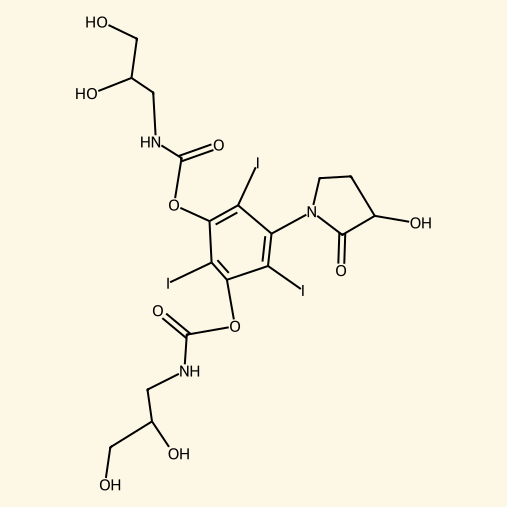 O=C(NCC(O)CO)Oc1c(I)c(OC(=O)NCC(O)CO)c(I)c(N2CCC(O)C2=O)c1I